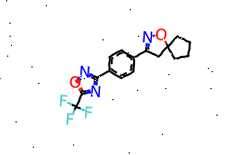 FC(F)(F)c1nc(-c2ccc(C3=NOC4(CCCC4)C3)cc2)no1